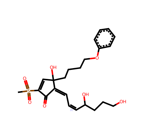 CS(=O)(=O)C1=CC(O)(CCCCOc2ccccc2)C(=C/C=C\C(O)CCCO)C1=O